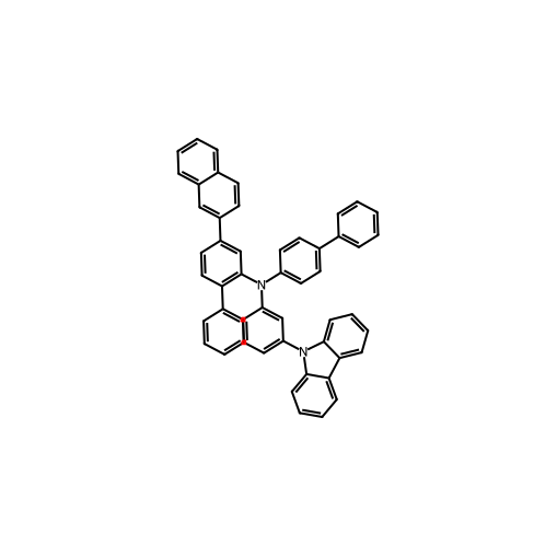 c1ccc(-c2ccc(N(c3cccc(-n4c5ccccc5c5ccccc54)c3)c3cc(-c4ccc5ccccc5c4)ccc3-c3ccccc3)cc2)cc1